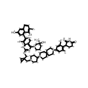 CCc1c(F)ccc2cc(O)cc(-c3ncc4c(N5CCC[C@@](C)(O)C5)nc(OCC5(CN6CCC(N7CCC8(CCN(c9cc(F)c(C%10CCC(=O)NC%10=O)c(F)c9)CC8)CC7)CC6)CC5)nc4c3F)c12